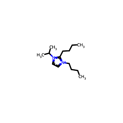 CCCCc1n(C(C)C)cc[n+]1CCCC